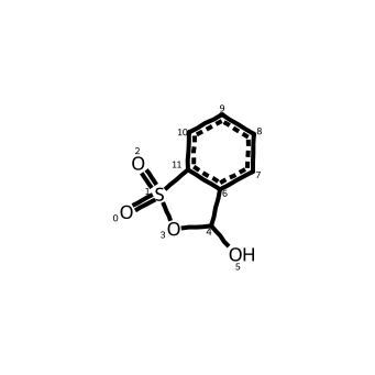 O=S1(=O)OC(O)c2ccccc21